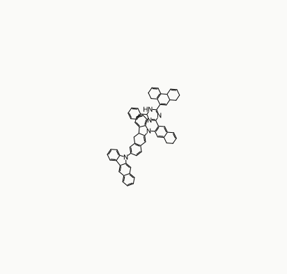 C1=CC2=C(CC1)C(C1=NC(c3cc4c(cc3N3C5=Cc6ccc(-n7c8ccccc8c8cc9ccccc9cc87)cc6CC5c5ccccc53)CCC=C4)=NC(c3ccccc3)N1)=CC1CCC=CC21